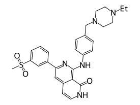 CCN1CCN(Cc2ccc(Nc3nc(-c4cccc(S(C)(=O)=O)c4)cc4cc[nH]c(=O)c34)cc2)CC1